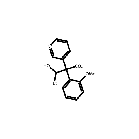 CCC(O)C(C(=O)O)(c1cccnc1)c1ccccc1OC